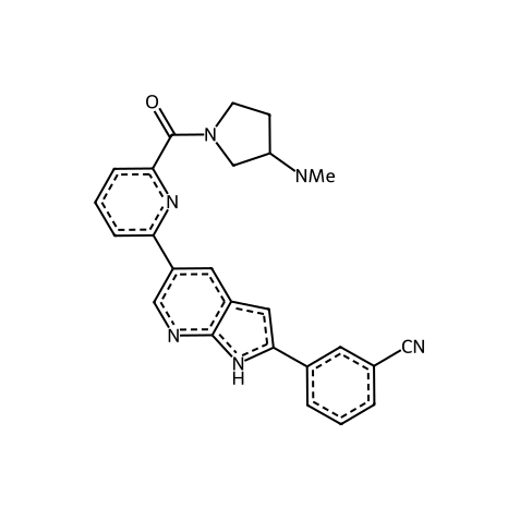 CNC1CCN(C(=O)c2cccc(-c3cnc4[nH]c(-c5cccc(C#N)c5)cc4c3)n2)C1